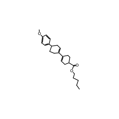 CCCCCOC(=O)C1CC=C(C2=CCC(c3ccc(OC)cc3)CC2)CC1